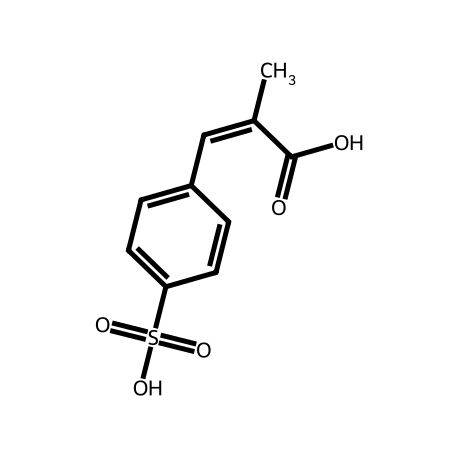 CC(=Cc1ccc(S(=O)(=O)O)cc1)C(=O)O